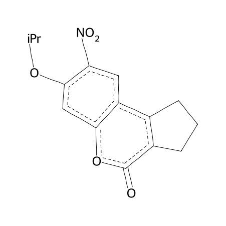 CC(C)Oc1cc2oc(=O)c3c(c2cc1[N+](=O)[O-])CCC3